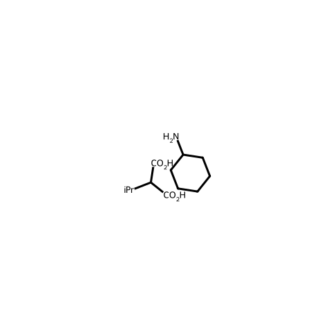 CC(C)C(C(=O)O)C(=O)O.NC1CCCCC1